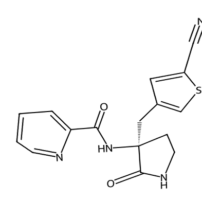 N#Cc1cc(C[C@]2(NC(=O)c3ccccn3)CCNC2=O)cs1